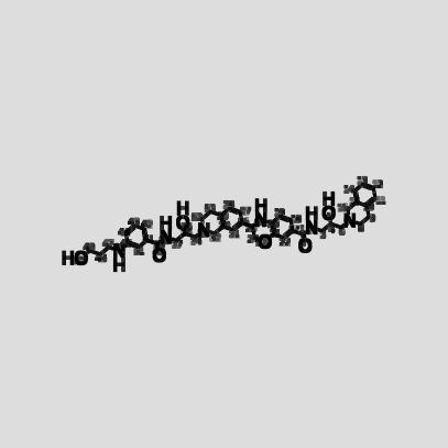 O=C(NCC(O)CN1CCc2ccccc2C1)c1ccc2c(c1)OCC(c1ccc3c(c1)CN(CC(O)CNC(=O)c1cccc(NCCCO)c1)CC3)N2